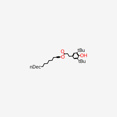 CCCCCCCCCCCCCCCCC#COC(=O)CCc1cc(C(C)(C)C)c(O)c(C(C)(C)C)c1